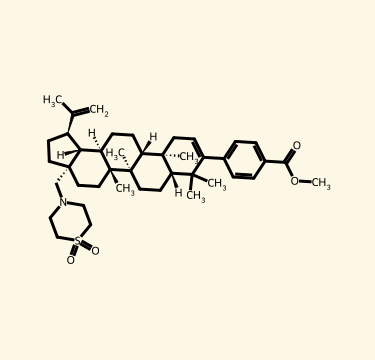 C=C(C)[C@@H]1CC[C@]2(CN3CCS(=O)(=O)CC3)CC[C@]3(C)[C@H](CC[C@@H]4[C@@]5(C)CC=C(c6ccc(C(=O)OC)cc6)C(C)(C)[C@@H]5CC[C@]43C)[C@@H]12